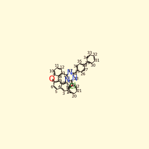 Clc1ccc2ccc3oc4cccc(-c5nc(-c6ccccc6)nc(-c6ccc(-c7ccccc7)cc6)n5)c4c3c2c1